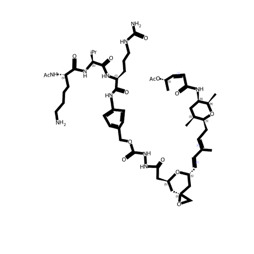 CC(=O)N[C@@H](CCCCN)C(=O)N[C@H](C(=O)N[C@@H](CCCNC(N)=O)C(=O)Nc1ccc(COC(=O)NNC(=O)C[C@@H]2C[C@@]3(CO3)C[C@@H](/C=C/C(C)=C/C[C@@H]3O[C@H](C)[C@H](NC(=O)/C=C\[C@H](C)OC(C)=O)C[C@@H]3C)O2)cc1)C(C)C